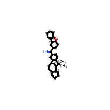 CC1(C)c2ccc(C(=N)c3ccc4oc5ccccc5c4c3)cc2C2C=Cc3ccccc3C1C2